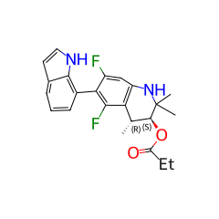 CCC(=O)O[C@H]1[C@H](C)c2c(cc(F)c(-c3cccc4cc[nH]c34)c2F)NC1(C)C